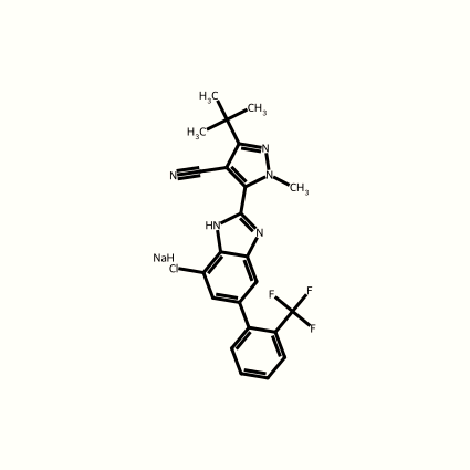 Cn1nc(C(C)(C)C)c(C#N)c1-c1nc2cc(-c3ccccc3C(F)(F)F)cc(Cl)c2[nH]1.[NaH]